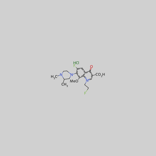 COc1c(N2CCN(C)C(C)C2)c(F)cc2c(=O)c(C(=O)O)cn(CCF)c12.Cl